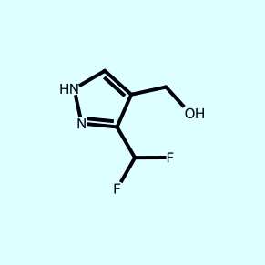 OCc1c[nH]nc1C(F)F